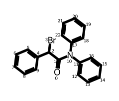 O=C(C(Br)c1ccccc1)N(c1ccccc1)c1ccccc1